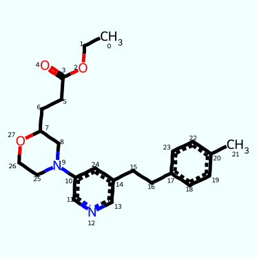 CCOC(=O)CCC1CN(c2cncc(CCc3ccc(C)cc3)c2)CCO1